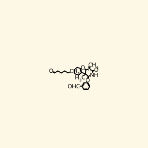 CCCCCC=O.CN1C(=O)NC(=O)C(C)(C2=CCCCC2)C1=O.O=Cc1ccccc1